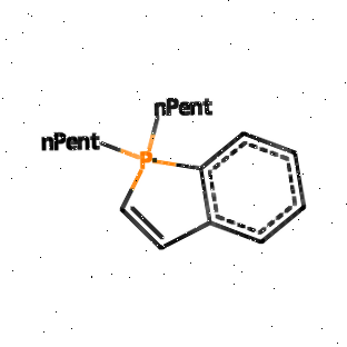 CCCCC[P]1(CCCCC)C=Cc2ccccc21